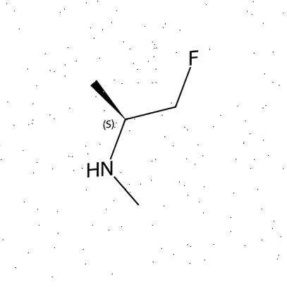 CN[C@@H](C)CF